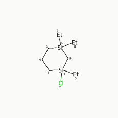 CC[Si]1(Cl)CCC[Si](CC)(CC)C1